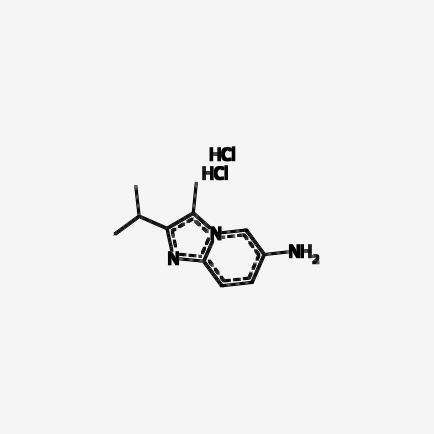 Cc1c(C(C)C)nc2ccc(N)cn12.Cl.Cl